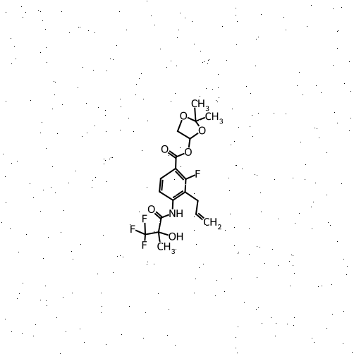 C=CCc1c(NC(=O)C(C)(O)C(F)(F)F)ccc(C(=O)OC2COC(C)(C)O2)c1F